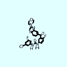 O=C(Nc1cc(F)cc(Cl)c1)Nc1ccc(F)c(C(=O)c2ccc3ncc(N4CCOCC4)nc3c2)c1